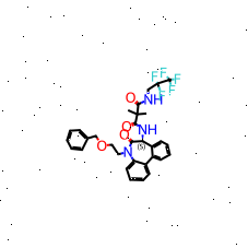 CC(C)(C(=O)NCC(F)(F)C(F)(F)F)C(=O)N[C@@H]1C(=O)N(CCOCc2ccccc2)c2ccccc2-c2ccccc21